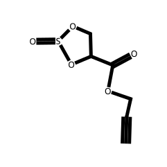 C#CCOC(=O)C1COS(=O)O1